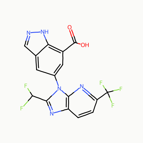 O=C(O)c1cc(-n2c(C(F)F)nc3ccc(C(F)(F)F)nc32)cc2cn[nH]c12